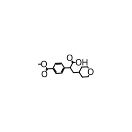 COC(=O)c1ccc(C(CC2CCOCC2)C(=O)O)cc1